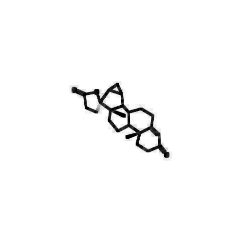 C[C@]12CCC(=O)C=C1CCC1C2CC[C@@]2(C)C1C1CC1[C@@]21CCC(=O)O1